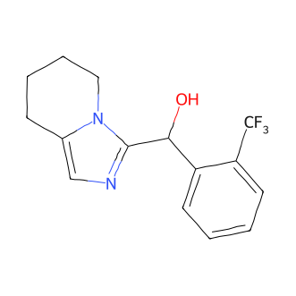 OC(c1ccccc1C(F)(F)F)c1ncc2n1CCCC2